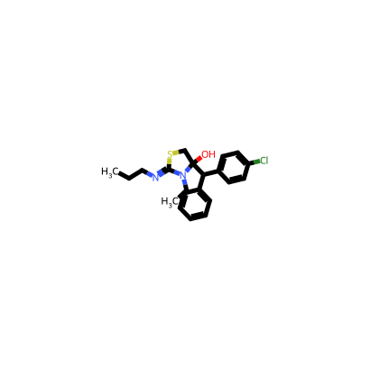 CCCN=C1SCC(O)(C(c2ccccc2)c2ccc(Cl)cc2)N1CC